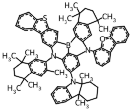 Cc1cc2c(cc1N1c3cc4c(cc3B3c5cc6c(cc5N(c5cccc7c5oc5ccccc57)c5cc(N7c8ccccc8C8(C)CCCCC78C)cc1c53)C(C)(C)CCC6(C)C)sc1ccccc14)C(C)(C)CCC2(C)C